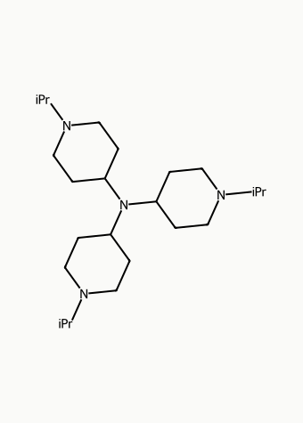 CC(C)N1CCC(N(C2CCN(C(C)C)CC2)C2CCN(C(C)C)CC2)CC1